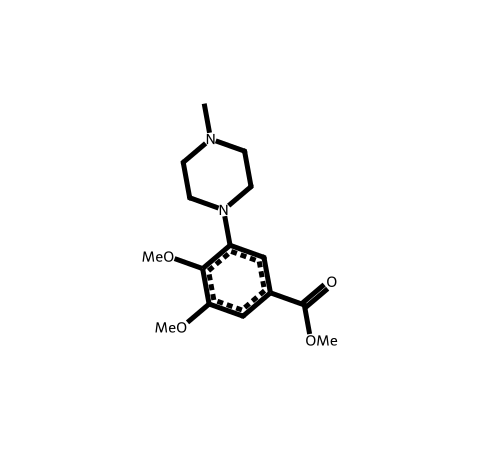 COC(=O)c1cc(OC)c(OC)c(N2CCN(C)CC2)c1